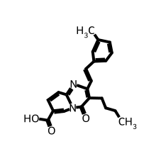 CCCCc1c(/C=C/c2cccc(C)c2)nc2ccc(C(=O)O)cn2c1=O